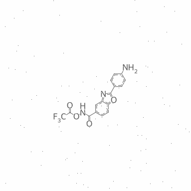 Nc1ccc(-c2nc3cc(C(=O)NOC(=O)C(F)(F)F)ccc3o2)cc1